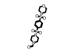 O=CN1CCN(S(=O)(=O)c2ccc(S(=O)(=O)N3CCOCC3)cc2)CC1